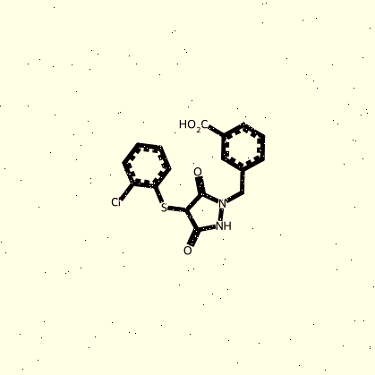 O=C(O)c1cccc(CN2NC(=O)C(Sc3ccccc3Cl)C2=O)c1